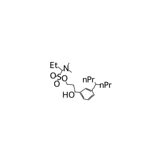 CCCC(CCC)c1cccc(C(O)CCOS(=O)(=O)C(CC)N(C)C)c1